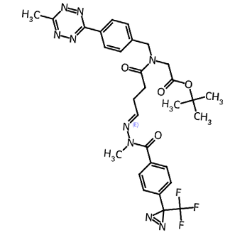 Cc1nnc(-c2ccc(CN(CC(=O)OC(C)(C)C)C(=O)CC/C=N/N(C)C(=O)c3ccc(C4(C(F)(F)F)N=N4)cc3)cc2)nn1